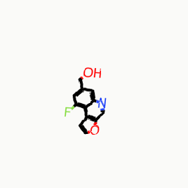 OCc1cc(F)c2c(c1)ncc1occc12